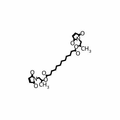 CC(CN1C(=O)C=CC1=O)OC(=O)CCCCCCCCCCC(=O)OC(C)CN1C(=O)C=CC1=O